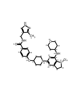 Cc1n[nH]cc1CNC(=O)c1ccc(OC2CCN(c3nc4c(c(NC5CCOCC5)n3)[S+]([O-])CC4)CC2)cc1